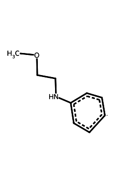 COCCNc1cc[c]cc1